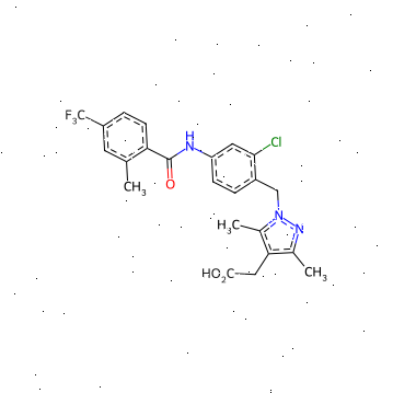 Cc1cc(C(F)(F)F)ccc1C(=O)Nc1ccc(Cn2nc(C)c(CC(=O)O)c2C)c(Cl)c1